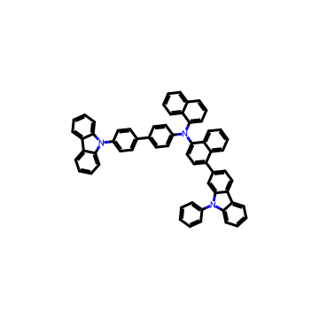 c1ccc(-n2c3ccccc3c3ccc(-c4ccc(N(c5ccc(-c6ccc(-n7c8ccccc8c8ccccc87)cc6)cc5)c5cccc6ccccc56)c5ccccc45)cc32)cc1